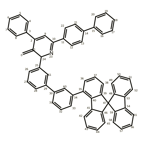 C=C1C(c2ccccc2)=CC(c2ccc(-c3ccccc3)cc2)=NC1c1cccc(-c2cccc(-c3cccc4c3-c3ccccc3C43c4ccccc4-c4ccccc43)c2)c1